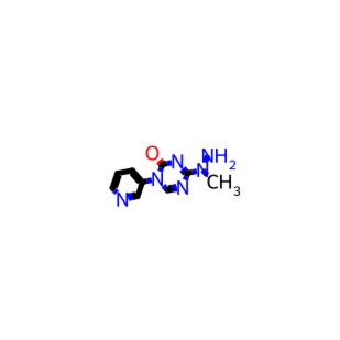 CN(N)c1ncn(-c2cccnc2)c(=O)n1